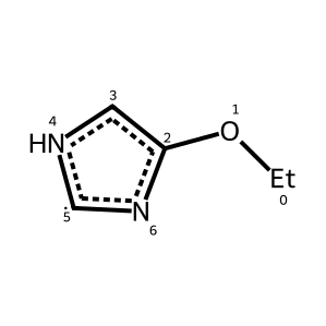 CCOc1c[nH][c]n1